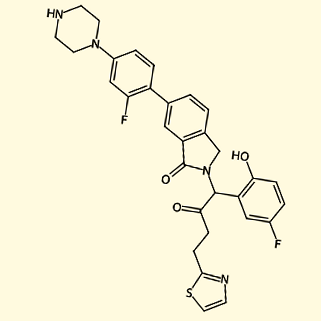 O=C(CCc1nccs1)C(c1cc(F)ccc1O)N1Cc2ccc(-c3ccc(N4CCNCC4)cc3F)cc2C1=O